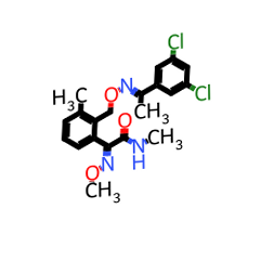 CNC(=O)/C(=N/OC)c1cccc(C)c1CO/N=C(\C)c1cc(Cl)cc(Cl)c1